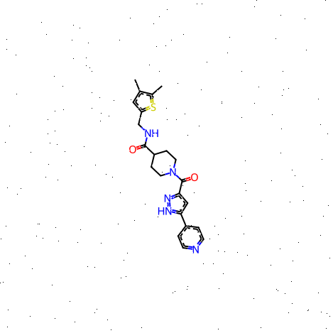 Cc1cc(CNC(=O)C2CCN(C(=O)c3cc(-c4ccncc4)[nH]n3)CC2)sc1C